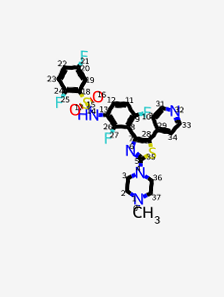 CN1CCN(c2nc(-c3c(F)ccc(NS(=O)(=O)c4cc(F)ccc4F)c3F)c(-c3ccncc3)s2)CC1